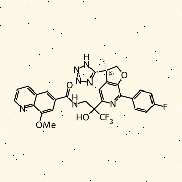 COc1cc(C(=O)NCC(O)(c2cc3c(c(-c4ccc(F)cc4)n2)OC[C@]3(C)c2nnn[nH]2)C(F)(F)F)cc2cccnc12